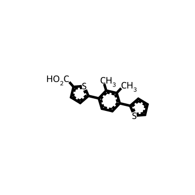 Cc1c(-c2cccs2)ccc(-c2ccc(C(=O)O)s2)c1C